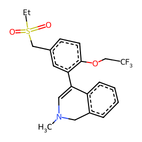 CCS(=O)(=O)Cc1ccc(OCC(F)(F)F)c(C2=CN(C)Cc3ccccc32)c1